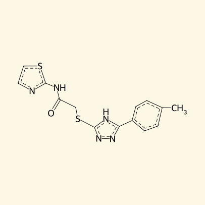 Cc1ccc(-c2nnc(SCC(=O)Nc3nccs3)[nH]2)cc1